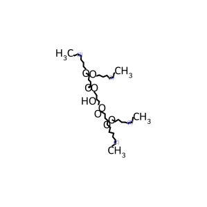 CC/C=C\CCCCOC(CCC(=O)OCCC(O)CCOC(=O)CCC(OCCCC/C=C\CC)OCCCC/C=C\CC)OCCCC/C=C\CC